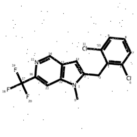 Cn1c(Cc2c(Cl)[c]ccc2Cl)cc2cnc(C(F)(F)F)cc21